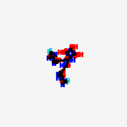 N#C[C@@H]1CC(F)(F)CN1C(=O)CNC(=O)c1ccnc2ccc(OCCCCNC(=O)CC[C@H](NC(=O)CN3CCN(CC(=O)O)CCN(CC(=O)O)CCN(CC(=O)O)CC3)C(=O)NCCCCOc3ccc4nccc(C(=O)NCC(=O)N5CC(F)(F)C[C@H]5C#N)c4c3)cc12